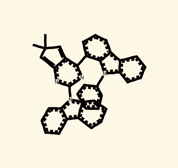 CC1(C)C=c2nc(-n3c4ccccc4c4ccccc43)nc(-c3cccc4c5ccccc5n(-c5ccccc5)c34)c2=C1